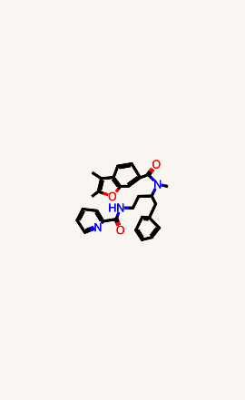 Cc1oc2cc(C(=O)N(C)C(CCNC(=O)c3ccccn3)Cc3ccccc3)ccc2c1C